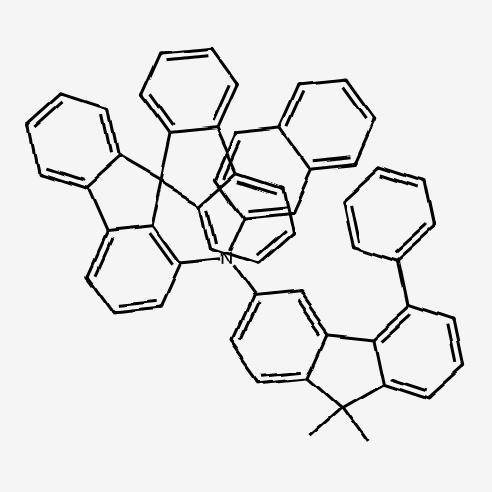 CC1(C)c2ccc(N(c3ccc4ccccc4c3)c3cccc4c3C3(c5ccccc5-c5ccccc53)c3ccccc3-4)cc2-c2c(-c3ccccc3)cccc21